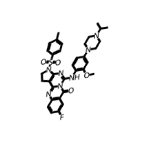 COc1cc(N2CCN(C(C)C)CC2)ccc1Nc1nc2c(c3nc4ccc(F)cc4c(=O)n13)CCN2S(=O)(=O)c1ccc(C)cc1